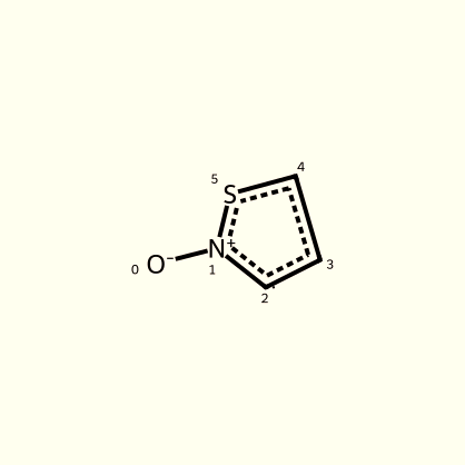 [O-][n+]1[c]ccs1